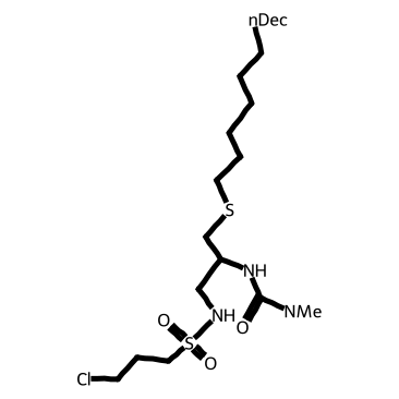 CCCCCCCCCCCCCCCCSCC(CNS(=O)(=O)CCCCl)NC(=O)NC